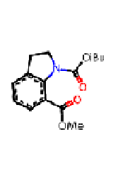 COC(=O)c1cccc2c1N(C(=O)OCC(C)C)CC2